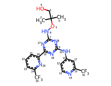 CC(C)(CO)ONc1nc(Nc2ccnc(C(F)(F)F)c2)nc(-c2cccc(C(F)(F)F)n2)n1